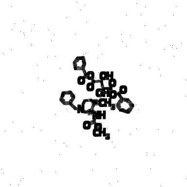 COC(=O)N[C@H]1CN(Cc2ccccc2)CC[C@H]1C.O=C(OC(=O)C(O)C(O)C(=O)OC(=O)c1ccccc1)c1ccccc1